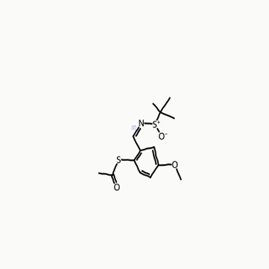 COc1ccc(SC(C)=O)c(/C=N\[S+]([O-])C(C)(C)C)c1